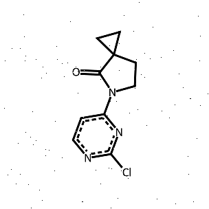 O=C1N(c2ccnc(Cl)n2)CCC12CC2